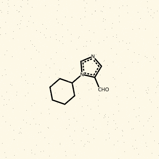 O=Cc1cncn1C1CCCCC1